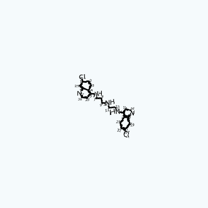 Clc1ccc2c(NCCCNCCNc3ccnc4cc(Cl)ccc34)ccnc2c1